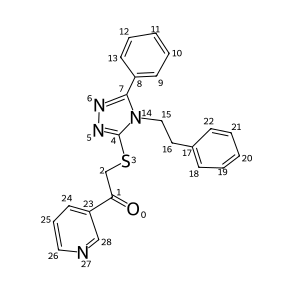 O=C(CSc1nnc(-c2ccccc2)n1CCc1ccccc1)c1cccnc1